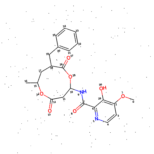 COc1ccnc(C(=O)NC2CC(=O)OC(C)[CH]C(Cc3ccccc3)C(=O)O2)c1O